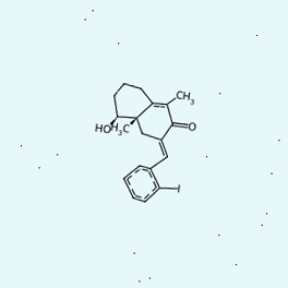 CC1=C2CCC[C@H](O)[C@@]2(C)CC(=Cc2ccccc2I)C1=O